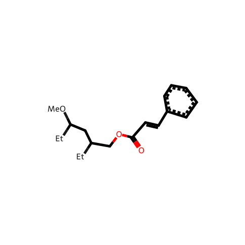 CCC(COC(=O)/C=C/c1ccccc1)CC(CC)OC